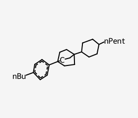 CCCCCC1CCC(C23CCC(c4ccc(CCCC)cc4)(CC2)CC3)CC1